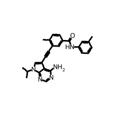 Cc1cccc(NC(=O)c2ccc(C)c(C#Cc3cn(C(C)C)c4ncnc(N)c34)c2)c1